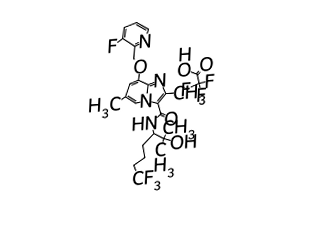 Cc1cc(OCc2ncccc2F)c2nc(C)c(C(=O)NC(CCCC(F)(F)F)C(C)(C)O)n2c1.O=C(O)C(F)(F)F